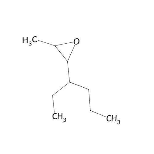 CCCC(CC)C1OC1C